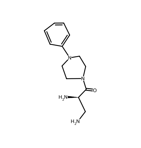 NC[C@@H](N)C(=O)N1CCN(c2ccccc2)CC1